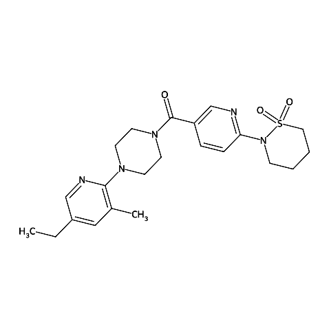 CCc1cnc(N2CCN(C(=O)c3ccc(N4CCCCS4(=O)=O)nc3)CC2)c(C)c1